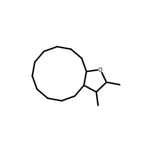 CC1OC2CCCCCCCCCCC2C1C